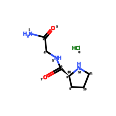 Cl.NC(=O)CNC(=O)[C@H]1CCCN1